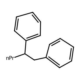 CCCC(Cc1ccccc1)c1ccccc1